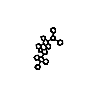 c1ccc(-c2cc(-c3ccccc3)cc(-c3c4ccccc4c(-c4cccc5oc6c(-c7c8ccccc8c(-c8ccccc8)c8ccccc78)cccc6c45)c4ccccc34)c2)cc1